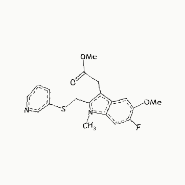 COC(=O)Cc1c(CSc2cccnc2)n(C)c2cc(F)c(OC)cc12